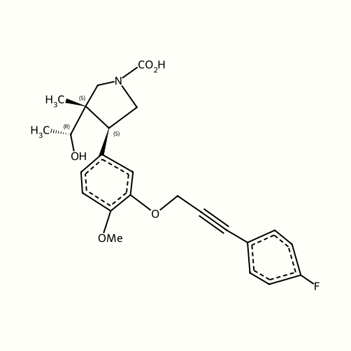 COc1ccc([C@@H]2CN(C(=O)O)C[C@@]2(C)[C@@H](C)O)cc1OCC#Cc1ccc(F)cc1